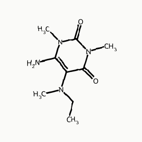 CCN(C)c1c(N)n(C)c(=O)n(C)c1=O